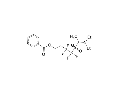 CCN(CC)C(C)S(=O)(=O)C(F)(F)C(F)(F)CCOC(=O)c1ccccc1